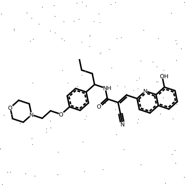 CCCC(NC(=O)/C(C#N)=C/c1ccc2cccc(O)c2n1)c1ccc(OCCN2CCOCC2)cc1